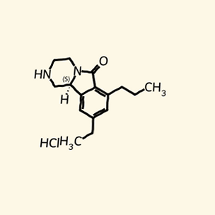 CCCc1cc(CC)cc2c1C(=O)N1CCNC[C@H]21.Cl